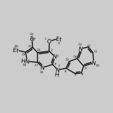 CCOc1nc(Nc2ccc3nccnc3c2)nc2[nH]c(CC)c(Br)c12